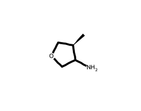 C[C@@H]1COCC1N